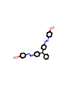 Oc1ccc(N=Nc2ccc(C(c3ccccc3)c3ccc(N=Nc4ccc(O)cc4)cc3)cc2)cc1